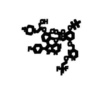 Cc1c(-c2c(-c3ccc(F)cc3)sc3ncnc(O[C@H](Cc4cc(O[Si](C)(C)C(C)(C)C)ccc4OCc4ccnc(OCCC(F)(F)F)n4)C(=O)O)c23)ccc(O[C@@H](CO)CN2CCN(C)CC2)c1Cl